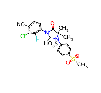 CC1(C)C(=O)N(c2ccc(C#N)c(Cl)c2F)C(S(=O)(=O)O)N1c1ccc(S(C)(=O)=O)cc1